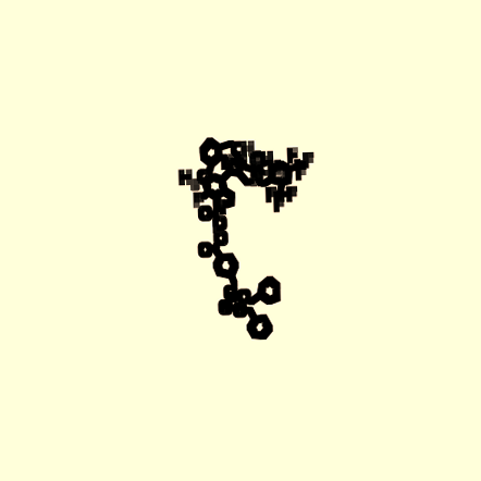 CCc1cccc(CC)c1-n1nc2c(c1-c1ccc(F)c3c1ccn3C(=O)OCOC(=O)c1ccc(COP(=O)(OCc3ccccc3)OCc3ccccc3)cc1)CN(Cc1ccc(C(F)(F)F)cc1C(F)(F)F)C2(C)C